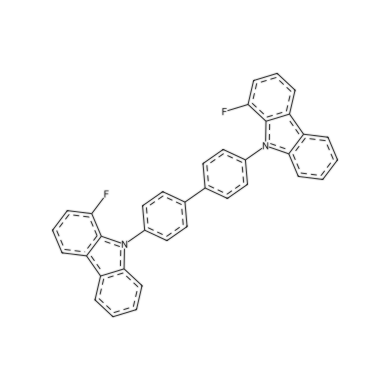 Fc1cccc2c3ccccc3n(-c3ccc(-c4ccc(-n5c6ccccc6c6cccc(F)c65)cc4)cc3)c12